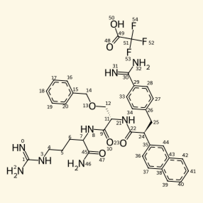 N=C(N)NCCCC(NC(=O)[C@H](COCc1ccccc1)NC(=O)[C@@H](Cc1ccc(C(=N)N)cc1)c1ccc2ccccc2c1)C(N)=O.O=C(O)C(F)(F)F